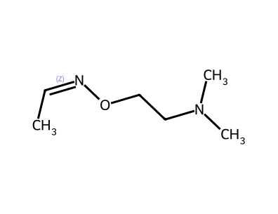 C/C=N\OCCN(C)C